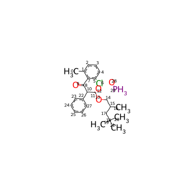 Cc1cccc(Cl)c1C(=O)C(C(=O)OCC(C)CC(C)(C)C)c1ccccc1.O=[PH3]